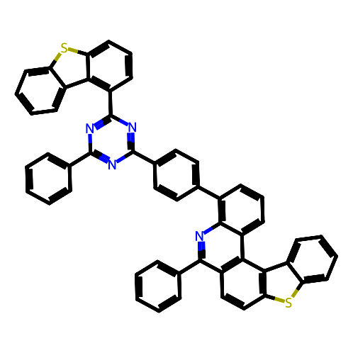 c1ccc(-c2nc(-c3ccc(-c4cccc5c4nc(-c4ccccc4)c4ccc6sc7ccccc7c6c45)cc3)nc(-c3cccc4sc5ccccc5c34)n2)cc1